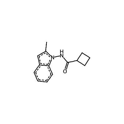 Cc1cc2ccccc2n1NC(=O)C1CCC1